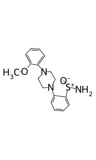 COc1ccccc1N1CCN(c2ccccc2[S+](N)[O-])CC1